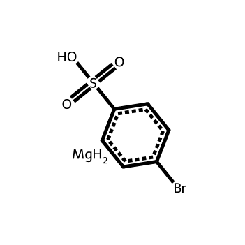 O=S(=O)(O)c1ccc(Br)cc1.[MgH2]